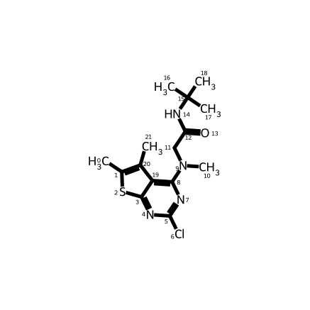 Cc1sc2nc(Cl)nc(N(C)CC(=O)NC(C)(C)C)c2c1C